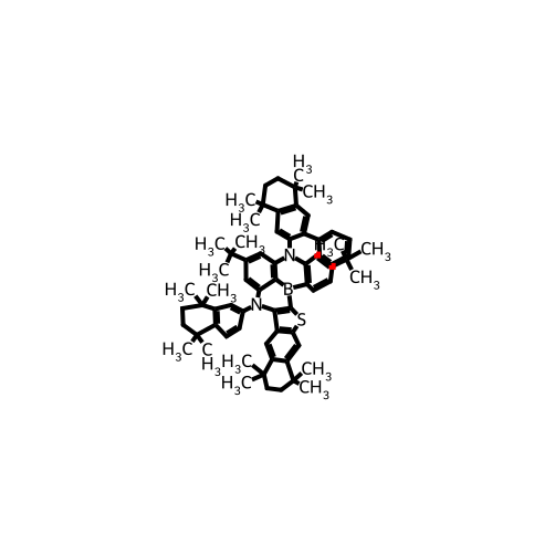 CC(C)(C)c1ccc2c(c1)N(c1cc3c(cc1-c1ccccc1)C(C)(C)CCC3(C)C)c1cc(C(C)(C)C)cc3c1B2c1sc2cc4c(cc2c1N3c1ccc2c(c1)C(C)(C)CCC2(C)C)C(C)(C)CCC4(C)C